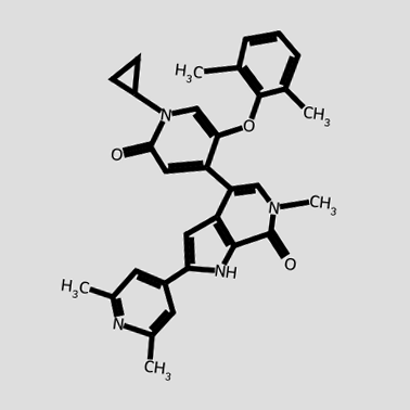 Cc1cc(-c2cc3c(-c4cc(=O)n(C5CC5)cc4Oc4c(C)cccc4C)cn(C)c(=O)c3[nH]2)cc(C)n1